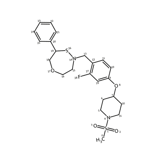 CS(=O)(=O)N1CCC(Oc2ccc(CN3CCOCC(c4ccccc4)S3)c(F)c2)CC1